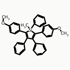 COc1ccc(C2=C(c3ccccc3)C(c3ccccc3)=C(c3ccc(OC)cc3)[Si]2(C)c2ccccc2)cc1